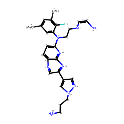 COc1cc(OC)c(F)c(N(CCN/C=C\N)c2ccc3ncc(-c4cnn(CCCN)c4)nc3n2)c1